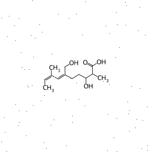 CC=C(C)C=C(CO)CCC(O)C(C)C(=O)O